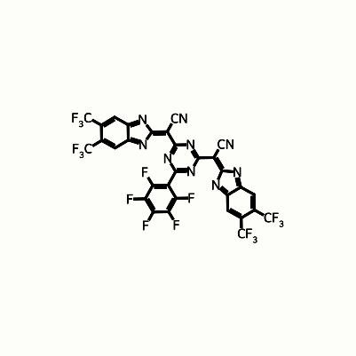 N#CC(=C1N=c2cc(C(F)(F)F)c(C(F)(F)F)cc2=N1)c1nc(C(C#N)=C2N=c3cc(C(F)(F)F)c(C(F)(F)F)cc3=N2)nc(-c2c(F)c(F)c(F)c(F)c2F)n1